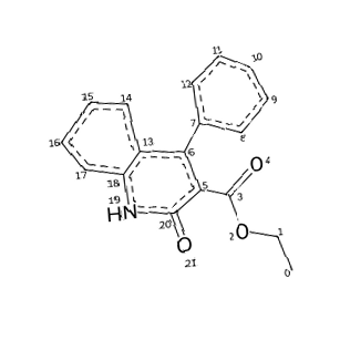 CCOC(=O)c1c(-c2ccccc2)c2ccccc2[nH]c1=O